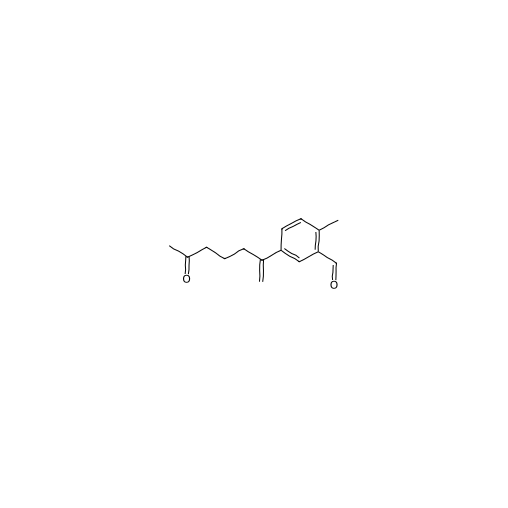 C=C(CCCC(C)=O)c1ccc(C)c(C=O)c1